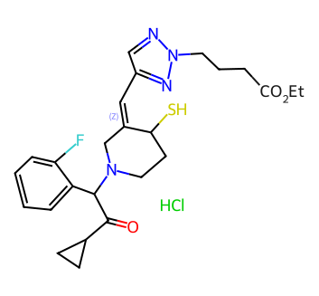 CCOC(=O)CCCn1ncc(/C=C2/CN(C(C(=O)C3CC3)c3ccccc3F)CCC2S)n1.Cl